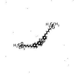 C=C(C)C(=O)OCCCCCCc1ccc(OC(F)(F)c2c(F)cc(-c3ccc(CCCCCCOC(=O)C(=C)C)cc3F)cc2F)cc1